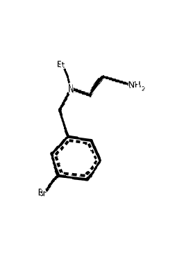 CCN(CCN)Cc1cccc(Br)c1